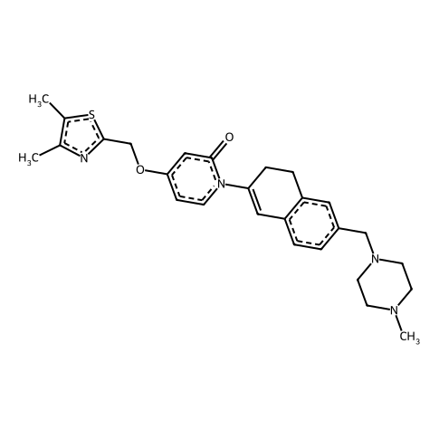 Cc1nc(COc2ccn(C3=Cc4ccc(CN5CCN(C)CC5)cc4CC3)c(=O)c2)sc1C